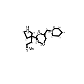 COCCC1(C2=NOCC(CN3CCCCC3)O2)CCNC1